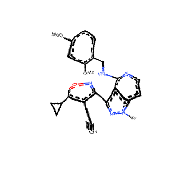 C#Cc1c(-c2nn(C(C)C)c3ccnc(NCc4ccc(OC)cc4OC)c23)noc1C1CC1